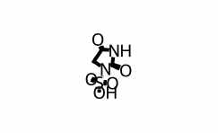 O=C1CN(S(=O)(=O)O)C(=O)N1